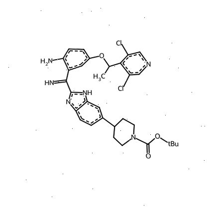 CC(Oc1ccc(N)c(C(=N)c2nc3ccc(C4CCN(C(=O)OC(C)(C)C)CC4)cc3[nH]2)c1)c1c(Cl)cncc1Cl